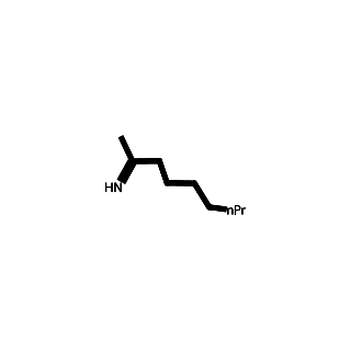 CCCCCCCC(C)=N